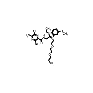 CC[n+]1c(CNC(=O)c2nc(Cl)c(N)nc2N)n(CCOCCOCCN)c2cc(OC)ccc21